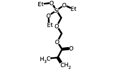 C=C(C)C(=O)OCOC[Si](OCC)(OCC)OCC